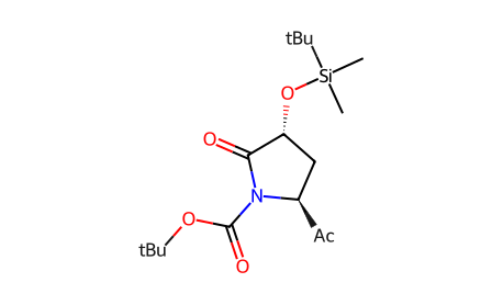 CC(=O)[C@@H]1C[C@@H](O[Si](C)(C)C(C)(C)C)C(=O)N1C(=O)OC(C)(C)C